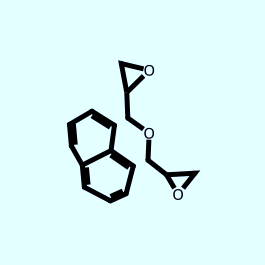 C(OCC1CO1)C1CO1.c1ccc2ccccc2c1